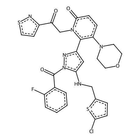 O=C(Cn1c(-c2cc(NCc3ccc(Cl)s3)n(C(=O)c3ccccc3F)n2)c(N2CCOCC2)ccc1=O)c1ccsn1